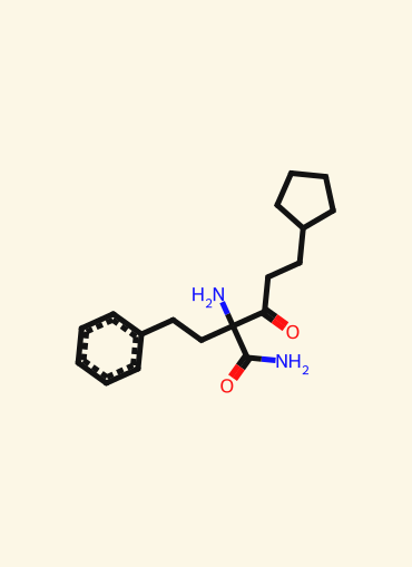 NC(=O)C(N)(CCc1ccccc1)C(=O)CCC1CCCC1